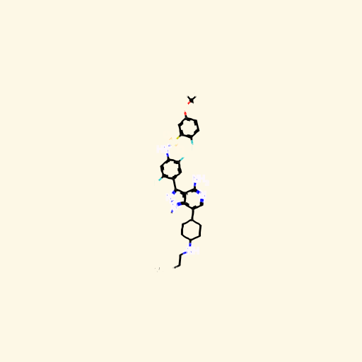 [2H]C([2H])([2H])Oc1ccc(F)c(S(=O)(=O)Nc2cc(F)c(-c3nn(C(C)C)c4c(C5CCC(NCCOC)CC5)cnc(N)c34)cc2F)c1